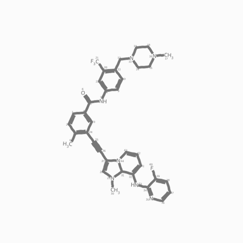 Cc1ccc(C(=O)Nc2ccc(CN3CCN(C)CC3)c(C(F)(F)F)c2)cc1C#CC1=CN(C)C2C(Nc3ncccc3F)=CC=CN12